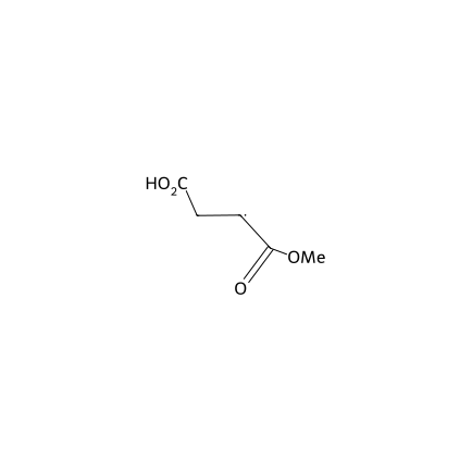 COC(=O)[CH]CC(=O)O